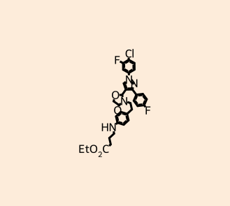 CCOC(=O)CCCNc1ccc(CCN2C(=O)COC2c2cn(-c3ccc(Cl)c(F)c3)nc2-c2ccc(F)cc2)cc1